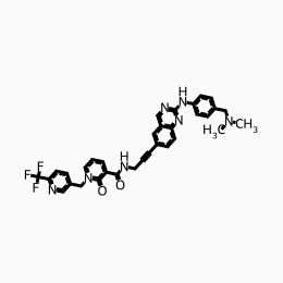 CN(C)Cc1ccc(Nc2ncc3cc(C#CCNC(=O)c4cccn(Cc5ccc(C(F)(F)F)nc5)c4=O)ccc3n2)cc1